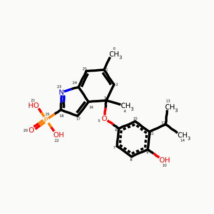 CC1=CC(C)(Oc2ccc(O)c(C(C)C)c2)C2=CC(P(=O)(O)O)=NC2=C1